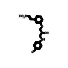 O=C(O)C=Cc1cccc(OCC(O)CNc2ccc(Cl)cc2)c1